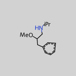 COC(CNC(C)C)Cc1ccccc1